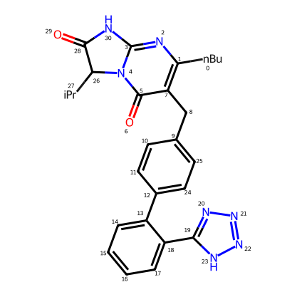 CCCCc1nc2n(c(=O)c1Cc1ccc(-c3ccccc3-c3nnn[nH]3)cc1)C(C(C)C)C(=O)N2